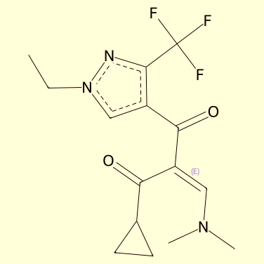 CCn1cc(C(=O)/C(=C/N(C)C)C(=O)C2CC2)c(C(F)(F)F)n1